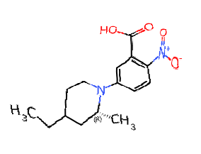 CCC1CCN(c2ccc([N+](=O)[O-])c(C(=O)O)c2)[C@H](C)C1